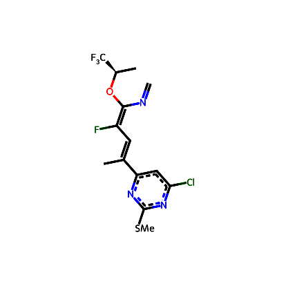 C=N/C(O[C@H](C)C(F)(F)F)=C(F)\C=C(/C)c1cc(Cl)nc(SC)n1